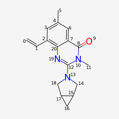 C=Cc1cc(C)cc2c(=O)n(C)c(N3CC4CC4C3)nc12